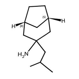 CC(C)CC1(N)C[C@@H]2CC[C@@H](C2)C1